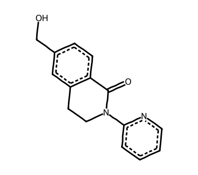 O=C1c2ccc(CO)cc2CCN1c1ccccn1